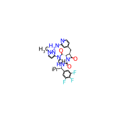 CC(C)[C@@H](NC(=O)N1C(=O)[C@H](Cc2ccnc(N)c2)[C@H]1C(=O)N(C)c1ccn(C)n1)c1cc(F)c(F)c(F)c1